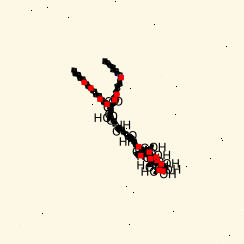 CCCCCCCCC=CCCCCCCCC(=O)O[C@H](COC(=O)CCCCCCC/C=C\CCCCCCCC)COP(=O)(O)OCCNC(=O)CCCCC(=O)NCCCO[C@@H]1O[C@H](CO)[C@@H](O[C@@H]2O[C@H](CO)[C@H](O)[C@H](O[C@H]3O[C@H](CO)[C@H](O)[C@H](O)[C@H]3O)[C@H]2O)[C@H](O)[C@H]1NC(C)=O